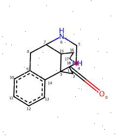 O=C1CC23CCNC(Cc4ccccc42)C3CCN1